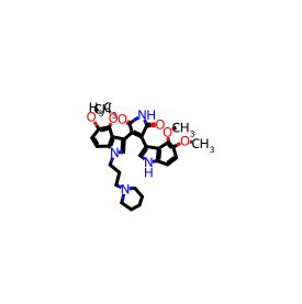 COc1ccc2[nH]cc(C3=C(c4cn(CCCN5CCCCC5)c5ccc(OC)c(OC)c45)C(=O)NC3=O)c2c1OC